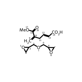 C(OCC1CO1)C1CO1.C=C(CC=CC(=O)O)C(=O)OC